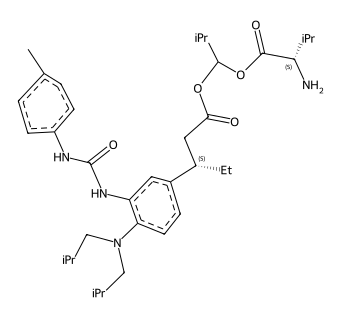 CC[C@@H](CC(=O)OC(OC(=O)[C@@H](N)C(C)C)C(C)C)c1ccc(N(CC(C)C)CC(C)C)c(NC(=O)Nc2ccc(C)cc2)c1